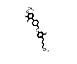 CCCCCc1ccc(OCC2CCC(c3ccc(OC)c(F)c3F)CC2)cc1F